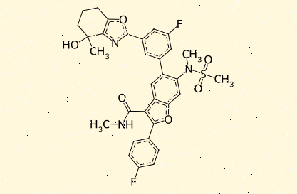 CNC(=O)c1c(-c2ccc(F)cc2)oc2cc(N(C)S(C)(=O)=O)c(-c3cc(F)cc(-c4nc5c(o4)CCCC5(C)O)c3)cc12